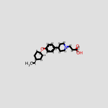 CC[C@H]1CC[C@H](Oc2ccc(C3CCN(CCC(=O)O)CC3)cc2)CC1